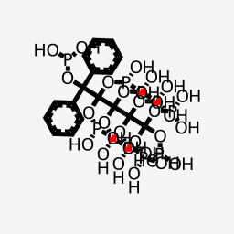 OP(O)OC(OP(O)O)(OP(O)O)C(OP(O)O)(OP(O)O)C(OP(O)O)(OP(O)O)C(OP(O)O)(OP(O)O)C(OP(O)O)(c1ccccc1)c1ccccc1